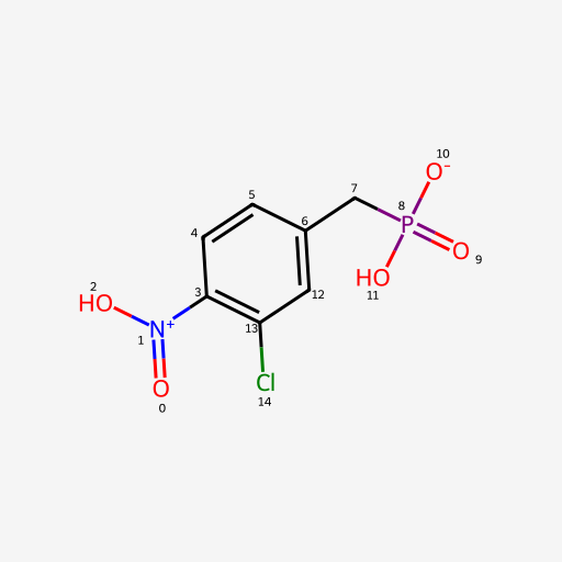 O=[N+](O)c1ccc(CP(=O)([O-])O)cc1Cl